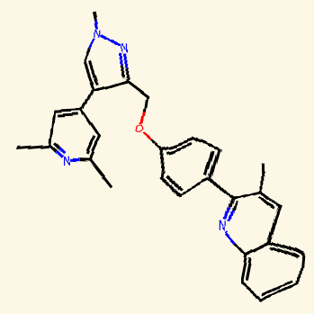 Cc1cc(-c2cn(C)nc2COc2ccc(-c3nc4ccccc4cc3C)cc2)cc(C)n1